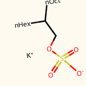 CCCCCCCCC(CCCCCC)COS(=O)(=O)[O-].[K+]